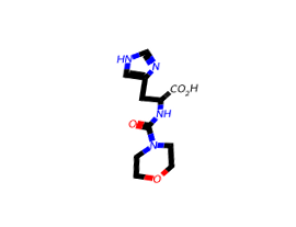 O=C(O)C(Cc1c[nH]cn1)NC(=O)N1CCOCC1